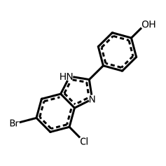 Oc1ccc(-c2nc3c(Cl)cc(Br)cc3[nH]2)cc1